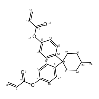 C=CC(=O)Oc1ccc(C2(c3ccc(OC(=O)C=C)cc3)CCC(C)CC2)cc1